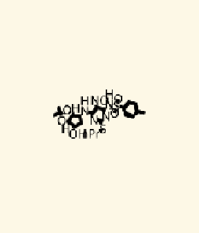 CCCSc1nc(N[C@@H]2C[C@H](O)[C@H]3OC(C)(C)O[C@H]32)c([N+](=O)[O-])c(NS(=O)(=O)c2ccc(C)cc2)n1